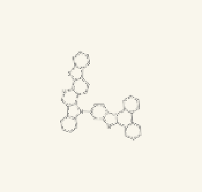 c1ccc2c(c1)sc1c2ccc2c1ncc1c3ccccc3n(-c3ccc4c(c3)nc3c5ccccc5c5ccccc5n43)c12